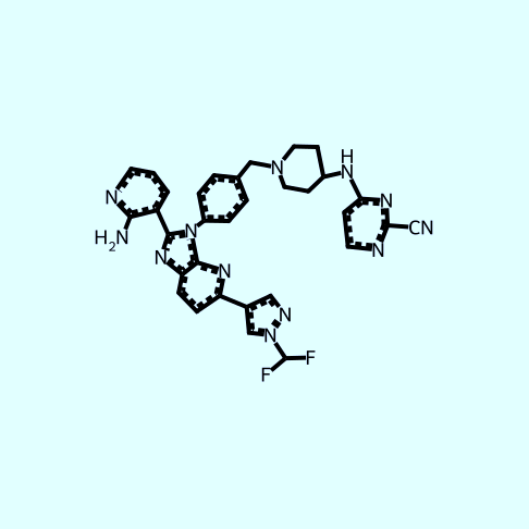 N#Cc1nccc(NC2CCN(Cc3ccc(-n4c(-c5cccnc5N)nc5ccc(-c6cnn(C(F)F)c6)nc54)cc3)CC2)n1